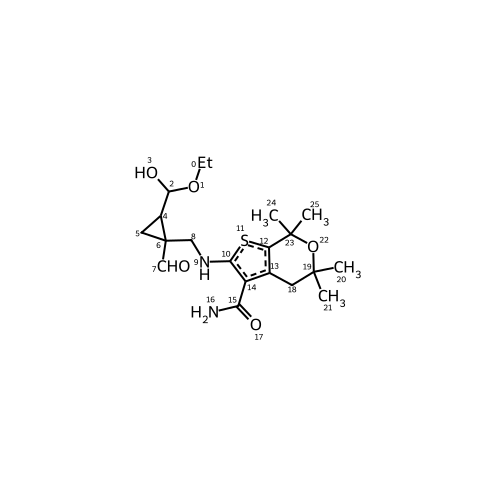 CCOC(O)C1CC1(C=O)CNc1sc2c(c1C(N)=O)CC(C)(C)OC2(C)C